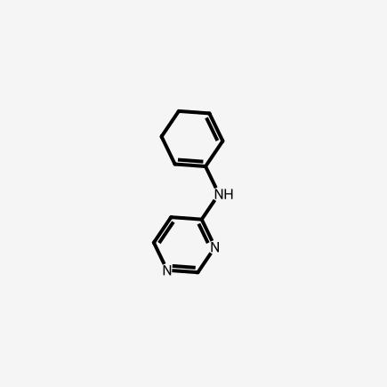 C1=CC(Nc2ccncn2)=CCC1